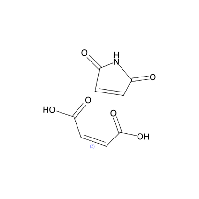 O=C(O)/C=C\C(=O)O.O=C1C=CC(=O)N1